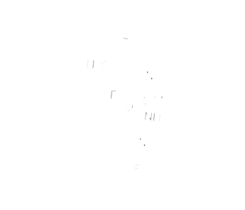 Cc1c(F)cnc(S(=O)(=O)Nc2cccc(F)n2)c1F